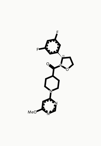 COc1cc(N2CCC(C(=O)N3OCC[C@H]3c3cc(F)cc(F)c3)CC2)ncn1